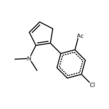 CC(=O)c1cc(Cl)ccc1C1=C(N(C)C)C=CC1